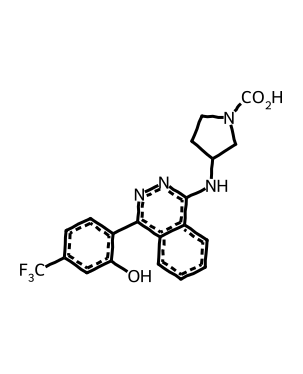 O=C(O)N1CCC(Nc2nnc(-c3ccc(C(F)(F)F)cc3O)c3ccccc23)C1